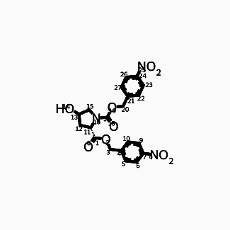 O=C(OCc1ccc([N+](=O)[O-])cc1)[C@@H]1CC(O)CN1C(=O)OCc1ccc([N+](=O)[O-])cc1